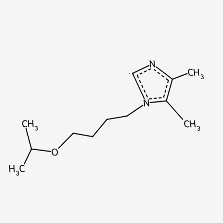 Cc1n[c]n(CCCCOC(C)C)c1C